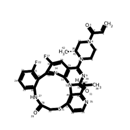 C=CC(=O)N1CCN(c2nc(=O)n3c4nc(c(F)cc24)-c2c(F)cccc2NC(=O)CSc2ccnc(C(C)C)c2-3)[C@H](C)C1